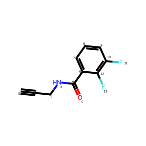 C#CCNC(=O)c1cccc(F)c1F